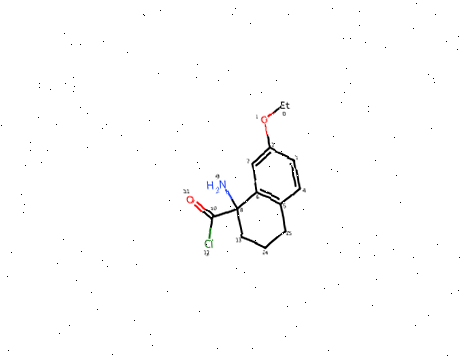 CCOc1ccc2c(c1)C(N)(C(=O)Cl)CCC2